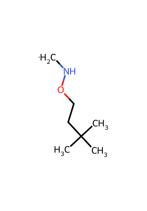 [CH2]NOCCC(C)(C)C